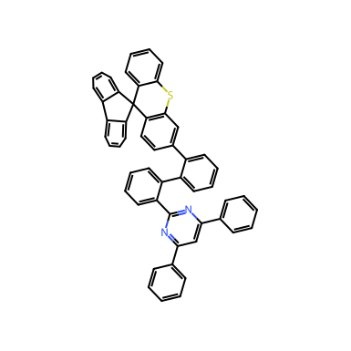 c1ccc(-c2cc(-c3ccccc3)nc(-c3ccccc3-c3ccccc3-c3ccc4c(c3)Sc3ccccc3C43c4ccccc4-c4ccccc43)n2)cc1